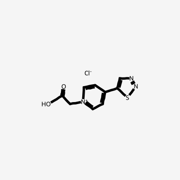 O=C(O)C[n+]1ccc(-c2cnns2)cc1.[Cl-]